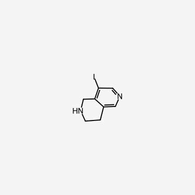 Ic1cncc2c1CNCC2